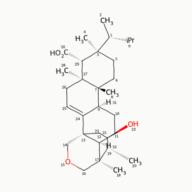 CC(C)[C@@H](C)[C@@]1(C)CC[C@]2(C)[C@H]3CC[C@@H]4[C@@]5(COC[C@]4(C)[C@@H](C)[C@H](O)C5)C3=CC[C@@]2(C)[C@@H]1C(=O)O